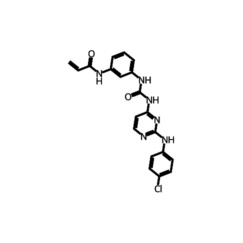 C=CC(=O)Nc1cccc(NC(=O)Nc2ccnc(Nc3ccc(Cl)cc3)n2)c1